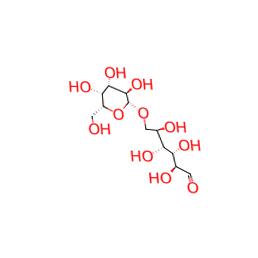 O=C[C@@H](O)[C@@H](O)[C@H](O)[C@H](O)CO[C@@H]1O[C@H](CO)[C@H](O)[C@H](O)[C@H]1O